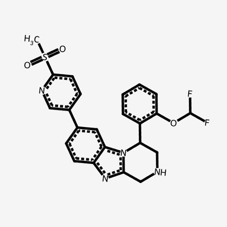 CS(=O)(=O)c1ccc(-c2ccc3nc4n(c3c2)C(c2ccccc2OC(F)F)CNC4)cn1